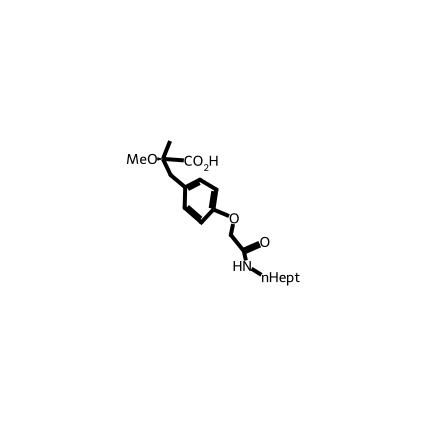 CCCCCCCNC(=O)COc1ccc(C[C@](C)(OC)C(=O)O)cc1